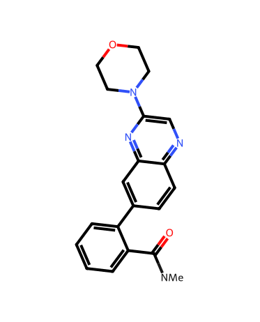 CNC(=O)c1ccccc1-c1ccc2ncc(N3CCOCC3)nc2c1